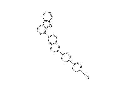 N#Cc1ccc(-c2ccc(-c3ccc4cc(-c5cccc6c7c(oc56)C=CCC7)ccc4c3)cc2)cc1